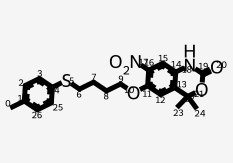 Cc1ccc(SCCCCOc2cc3c(cc2[N+](=O)[O-])NC(=O)OC3(C)C)cc1